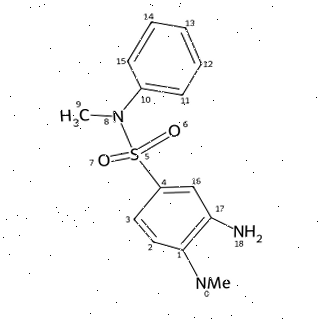 CNc1ccc(S(=O)(=O)N(C)c2ccccc2)cc1N